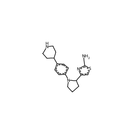 Nc1nc(C2CCCN2c2ccc(C3CCNCC3)cc2)cs1